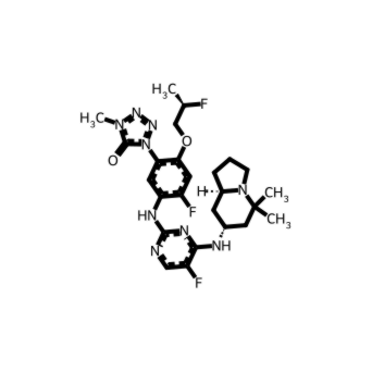 C[C@@H](F)COc1cc(F)c(Nc2ncc(F)c(N[C@@H]3C[C@H]4CCCN4C(C)(C)C3)n2)cc1-n1nnn(C)c1=O